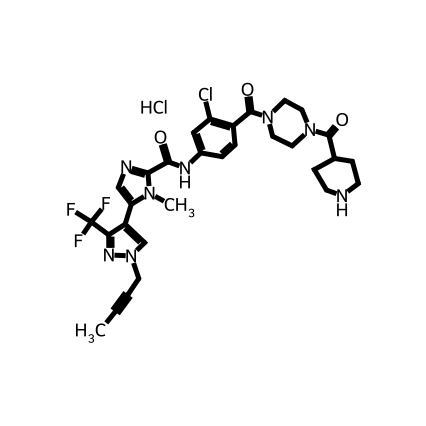 CC#CCn1cc(-c2cnc(C(=O)Nc3ccc(C(=O)N4CCN(C(=O)C5CCNCC5)CC4)c(Cl)c3)n2C)c(C(F)(F)F)n1.Cl